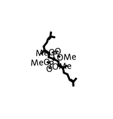 COP(=O)(OC)C(C/C=C(\C)CCC=C(C)C)(C/C=C(\C)CCC=C(C)C)P(=O)(OC)OC